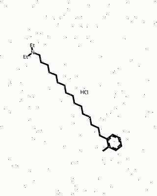 CCN(CC)CCCCCCCCCCCCCCCCc1ccccc1C.Cl